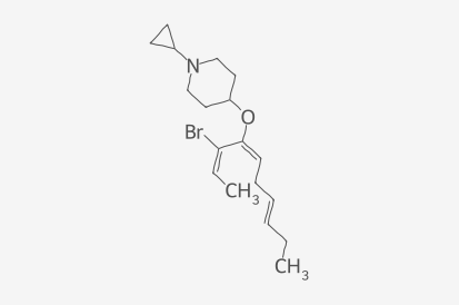 C/C=C(Br)\C(=C/C/C=C/CC)OC1CCN(C2CC2)CC1